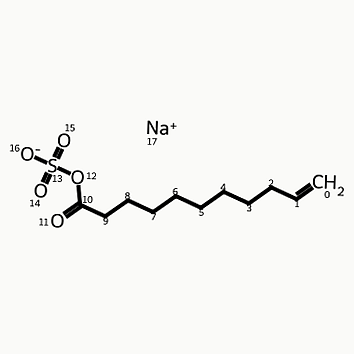 C=CCCCCCCCCC(=O)OS(=O)(=O)[O-].[Na+]